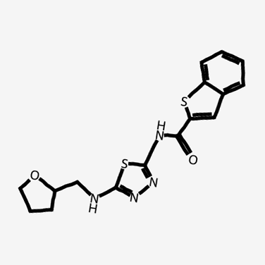 O=C(Nc1nnc(NCC2CCCO2)s1)c1cc2ccccc2s1